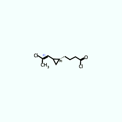 C/C(Cl)=C\C1C[C@H]1CCCC(=O)Cl